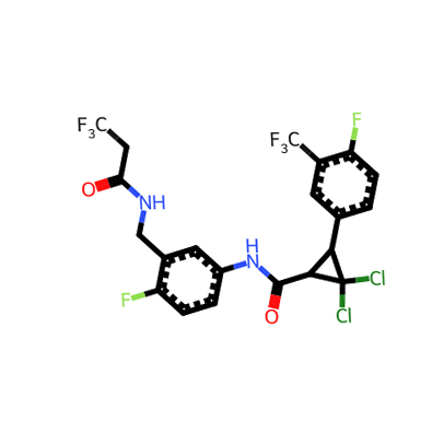 O=C(CC(F)(F)F)NCc1cc(NC(=O)C2C(c3ccc(F)c(C(F)(F)F)c3)C2(Cl)Cl)ccc1F